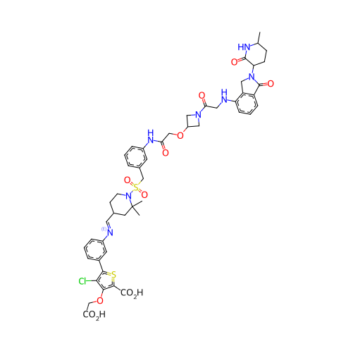 CC1CCC(N2Cc3c(NCC(=O)N4CC(OCC(=O)Nc5cccc(CS(=O)(=O)N6CCC(/C=N/c7cccc(-c8sc(C(=O)O)c(OCC(=O)O)c8Cl)c7)CC6(C)C)c5)C4)cccc3C2=O)C(=O)N1